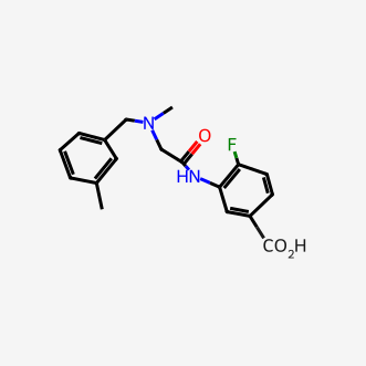 Cc1cccc(CN(C)CC(=O)Nc2cc(C(=O)O)ccc2F)c1